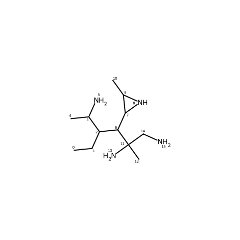 CCC(C(C)N)C(C1NC1C)C(C)(N)CN